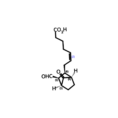 O=C[C@H]1[C@@H](C/C=C\CCCC(=O)O)[C@H]2CC[C@@H]1C2=O